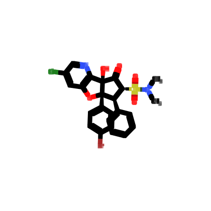 CN(C)S(=O)(=O)[C@H]1C(=O)[C@@]2(O)c3ncc(Cl)cc3O[C@@]2(c2ccc(Br)cc2)[C@@H]1c1ccccc1